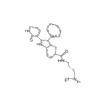 CCN(CC)CCCNC(=O)c1ccc2[nH]c(-c3ccc[nH]c3=O)c(-c3ccccc3)c2c1